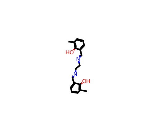 Cc1cccc(C=NCCN=Cc2cccc(C)c2O)c1O